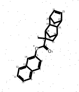 CC1(C(=O)Oc2ccc3ccccc3c2)CC2CC1C1C3C=CC(C3)C21